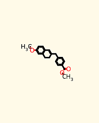 COC(=O)c1ccc(CC2=Cc3ccc(OC)cc3CC2)cc1